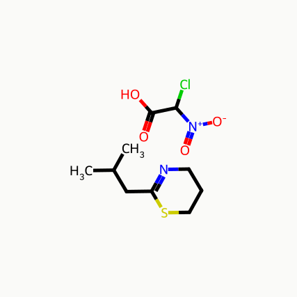 CC(C)CC1=NCCCS1.O=C(O)C(Cl)[N+](=O)[O-]